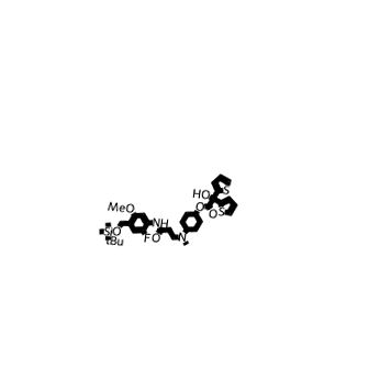 COc1cc(NC(=O)CCN(C)C2CCC(OC(=O)C(O)(c3cccs3)c3cccs3)CC2)c(F)cc1CO[Si](C)(C)C(C)(C)C